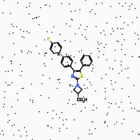 O=C(O)C1CN(c2nc(-c3ccc([C@H]4C=CC(F)=CC4)cc3)c(-c3ccccc3)s2)C1